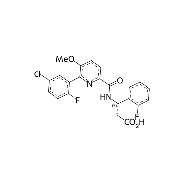 COc1ccc(C(=O)N[C@@H](CC(=O)O)c2ccccc2F)nc1-c1cc(Cl)ccc1F